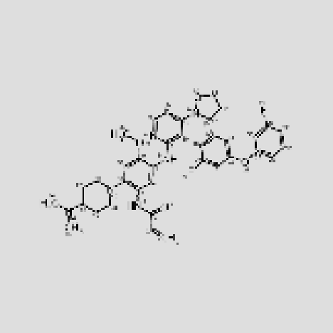 C=CC(=O)Nc1cc(Nc2cc(N3OCC[C@@H]3c3cc(F)cc(Oc4cccc(F)c4)c3)ncn2)c(OC)cc1N1CCC(N(C)C)CC1